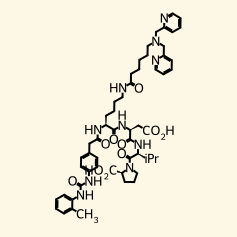 Cc1ccccc1NC(=O)Nc1ccc(CC(=O)N[C@@H](CCCCNC(=O)CCCCCN(Cc2ccccn2)Cc2ccccn2)C(=O)N[C@@H](CC(=O)O)C(=O)N[C@H](C(=O)N2CCC[C@H]2C(=O)O)C(C)C)cc1